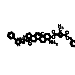 CC1C(C(=O)OCc2ccccc2)CC1C(=O)OC1CCC2(C)C(CCC3C4CCC5(C(=O)NCc6ncc(-c7ccccc7)[nH]6)CCCC5C4CCC32)C1N